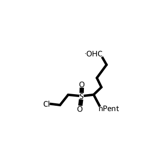 CCCCCC(CCC[C]=O)S(=O)(=O)CCCl